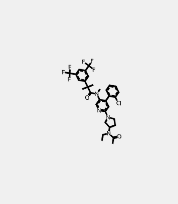 CCN(C(C)=O)C1CCN(c2cc(-c3ccccc3Cl)c(N(C)C(=O)C(C)(C)c3cc(C(F)(F)F)cc(C(F)(F)F)c3)cn2)C1